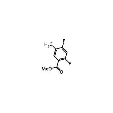 COC(=O)c1cc(C)c(F)cc1F